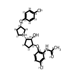 CC(=O)Nc1cc(Cl)ccc1O[C@H]1CC[C@H](N2CC[C@H](Oc3ccc(Cl)cc3)C2)[C@H]1O